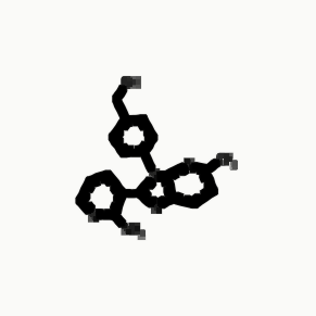 Nc1ncccc1-c1nc2ccc(C(F)(F)F)nc2n1-c1ccc(CO)cc1